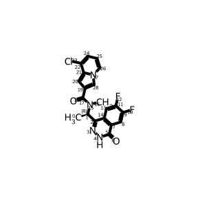 C[C@H](c1n[nH]c(=O)c2cc(F)c(F)cc12)N(C)C(=O)c1cc2c(Cl)cccn2c1